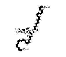 CCCCC/C=C\C/C=C\C/C=C\C/C=C\C/C=C\CCC(=O)O[C@H](COC(=O)CCCCC/C=C\C/C=C\C/C=C\C/C=C\CCCCC)COP(=O)([O-])OCC[N+](C)(C)C